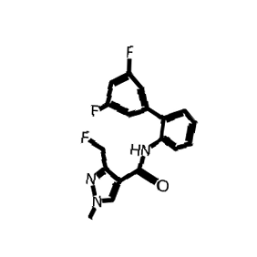 Cn1cc(C(=O)Nc2ccccc2-c2cc(F)cc(F)c2)c(CF)n1